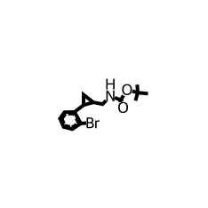 CC(C)(C)OC(=O)NCC1CC1c1ccccc1Br